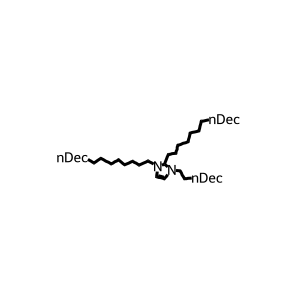 CCCCCCCCCCCCCCCCCCN1C=CN(CCCCCCCCCCCC)C1CCCCCCCCCCCCCCCCC